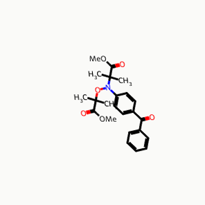 COC(=O)C(C)(C)ON(c1ccc(C(=O)c2ccccc2)cc1)C(C)(C)C(=O)OC